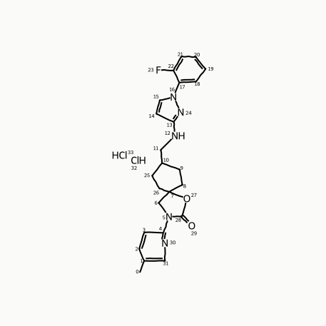 Cc1ccc(N2CC3(CCC(CNc4ccn(-c5ccccc5F)n4)CC3)OC2=O)nc1.Cl.Cl